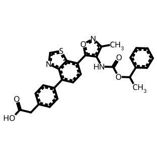 Cc1noc(-c2ccc(-c3ccc(CC(=O)O)cc3)c3ncsc23)c1NC(=O)OC(C)c1ccccc1